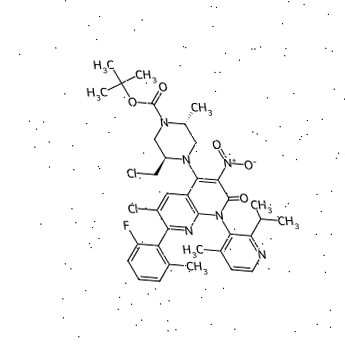 Cc1cccc(F)c1-c1nc2c(cc1Cl)c(N1C[C@@H](C)N(C(=O)OC(C)(C)C)C[C@@H]1CCl)c([N+](=O)[O-])c(=O)n2-c1c(C)ccnc1C(C)C